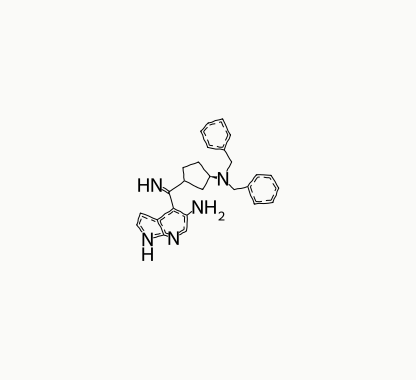 N=C(c1c(N)cnc2[nH]ccc12)C1CC[C@@H](N(Cc2ccccc2)Cc2ccccc2)C1